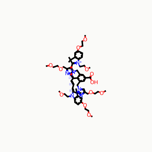 COCCOCc1cn(Cc2cc(C(=O)O)cc(Cn3cc(COCCOC)nn3)c2C(=C\C=C\C2=[N+](CCOC)c3ccc(OCCOC)cc3C2(C)C)/C=C/C=C2/N(CCOC)c3ccc(OCCOC)cc3C2(C)C)nn1